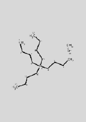 C.CCCC[P+](CCCC)(CCCC)CCCC.[Br-]